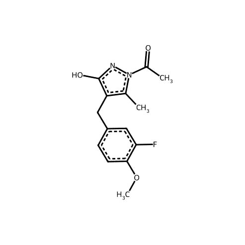 COc1ccc(Cc2c(O)nn(C(C)=O)c2C)cc1F